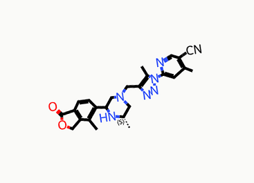 Cc1cc(-n2nnc(CN3CC(c4ccc5c(c4C)COC5=O)N[C@@H](C)C3)c2C)ncc1C#N